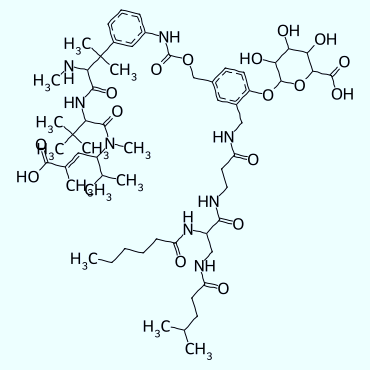 CCCCCC(=O)NC(CNC(=O)CCC(C)C)C(=O)NCCC(=O)NCc1cc(COC(=O)Nc2cccc(C(C)(C)C(NC)C(=O)NC(C(=O)N(C)C(/C=C(\C)C(=O)O)C(C)C)C(C)(C)C)c2)ccc1OC1OC(C(=O)O)C(O)C(O)C1O